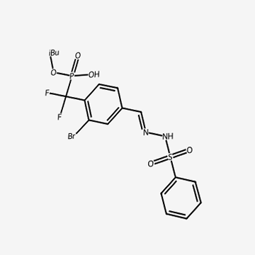 CCC(C)OP(=O)(O)C(F)(F)c1ccc(C=NNS(=O)(=O)c2ccccc2)cc1Br